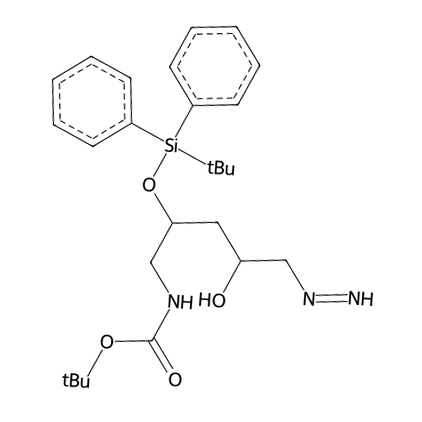 CC(C)(C)OC(=O)NCC(CC(O)CN=N)O[Si](c1ccccc1)(c1ccccc1)C(C)(C)C